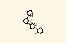 Cc1ccnc(-c2cccc3c2oc2nc(-c4c(C)cccc4C)ccc23)c1